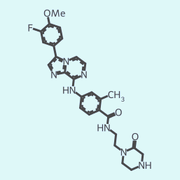 COc1ccc(-c2cnc3c(Nc4ccc(C(=O)NCCN5CCNCC5=O)c(C)c4)nccn23)cc1F